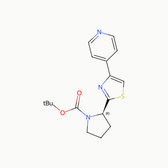 CC(C)(C)OC(=O)N1CCC[C@@H]1c1nc(-c2ccncc2)cs1